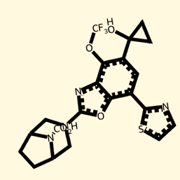 O=C(O)N1C2CCC1CN(c1nc3c(OC(F)(F)F)c(C4(O)CC4)cc(-c4nccs4)c3o1)C2